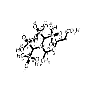 CC(OCCC(=O)O)N(C(P(=O)(O)O)P(=O)(O)O)C(P(=O)(O)O)P(=O)(O)O